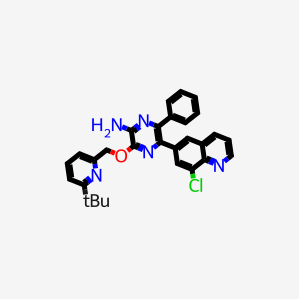 CC(C)(C)c1cccc(COc2nc(-c3cc(Cl)c4ncccc4c3)c(-c3ccccc3)nc2N)n1